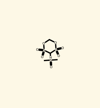 C[SH](C)(=O)C1S(=O)(=O)OCOS1(=O)=O